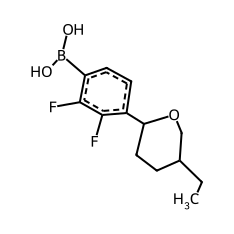 CCC1CCC(c2ccc(B(O)O)c(F)c2F)OC1